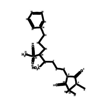 CN1C(=O)N(CCCC(C(=O)O)C(CCCc2ccccc2)S(N)(=O)=O)C(=O)C1(C)C